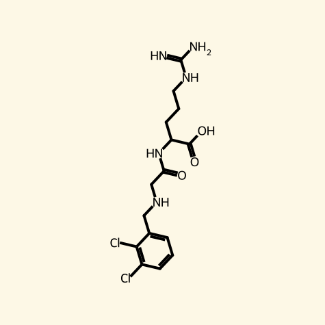 N=C(N)NCCCC(NC(=O)CNCc1cccc(Cl)c1Cl)C(=O)O